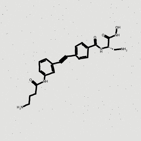 NCCCC(=O)Nc1cccc(C#Cc2ccc(C(=O)N[C@@H](CN)C(=O)NO)cc2)c1